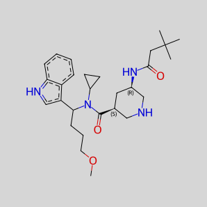 COCCCC(c1c[nH]c2ccccc12)N(C(=O)[C@@H]1CNC[C@H](NC(=O)CC(C)(C)C)C1)C1CC1